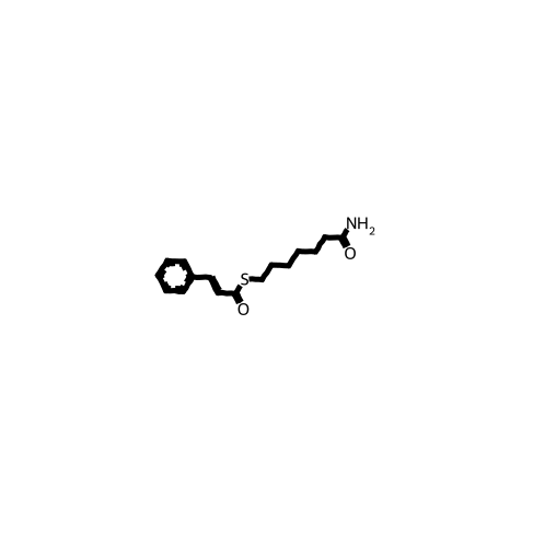 NC(=O)CCCCCCSC(=O)/C=C/c1ccccc1